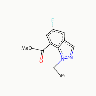 COC(=O)c1cc(F)cc2cnn(CC(C)C)c12